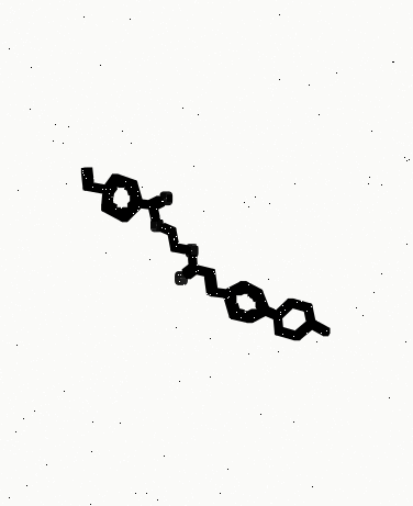 C=Cc1ccc(C(=O)OCCOC(=O)/C=C/c2ccc(C3CCC(C)CC3)cc2)cc1